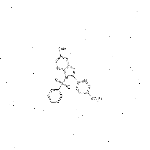 CCOC(=O)c1ccc(-c2cc3cc(SC)cnc3n2S(=O)(=O)c2ccccc2)nc1